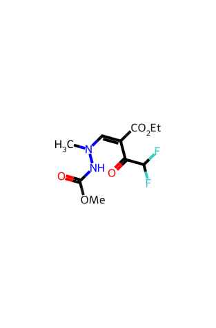 CCOC(=O)C(=CN(C)NC(=O)OC)C(=O)C(F)F